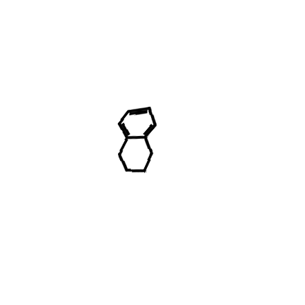 [C]1CCc2ccccc2C1